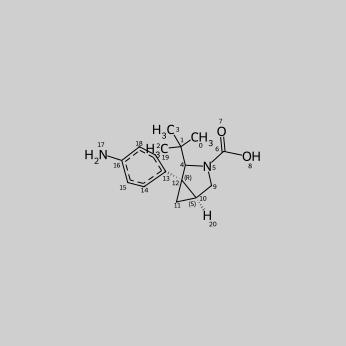 CC(C)(C)C1N(C(=O)O)C[C@H]2C[C@@]12c1ccc(N)cc1